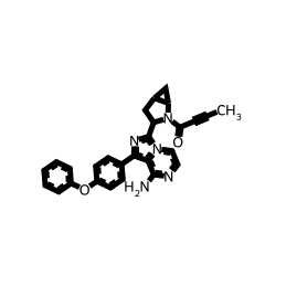 CC#CC(=O)N1C(c2nc(-c3ccc(Oc4ccccc4)cc3)c3c(N)nccn23)CC2CC21